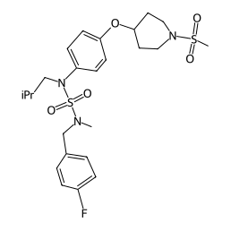 CC(C)CN(c1ccc(OC2CCN(S(C)(=O)=O)CC2)cc1)S(=O)(=O)N(C)Cc1ccc(F)cc1